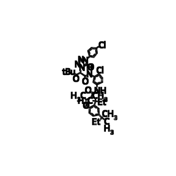 CCC(C)(C)c1ccc(OC(C)CC(=O)Nc2ccc(Cl)c(NC(=O)C(C(=O)C(C)(C)C)n3nnn(-c4ccc(Cl)cc4)c3=O)c2)c(C(C)(C)CC)c1